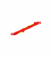 O=C(CSCSCSCSCCOOCSCSCSCSCOC(=O)CSCSCSCSCCOOCCO)OCCO